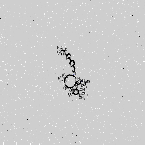 CCC(=O)/N=C\[C@H](C)C[C@@]1(C)OC/C(=N/OCc2ccc(-c3nc(NC(=O)[C@H](C)N)cs3)cn2)CC[C@H](C(C)C)[C@](C)(O)[C@@H](CC)OC(=O)[C@@](C)(F)C(=O)[C@H](C)[C@H]1O[C@@H]1O[C@H](C)C[C@H](N(C)C)[C@H]1O